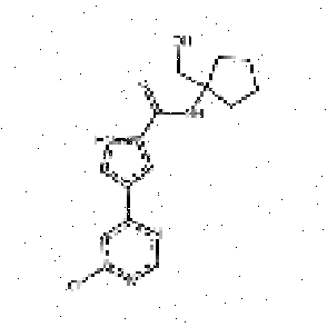 O=C(NC1(CO)CCCC1)c1cc(-c2cc(Cl)ncn2)c[nH]1